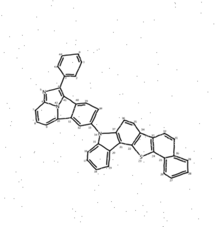 c1ccc(-c2nc3cccc4c5cc(-n6c7ccccc7c7c8sc9c%10ccccc%10ccc9c8ccc76)ccc5c2n34)cc1